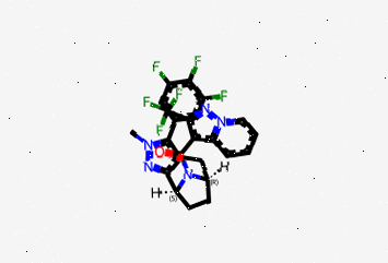 Cn1nc2c(c1-c1cc(F)c(F)c(F)c1)C[C@H]1CC[C@@H]2N1C(=O)c1c(C(F)(F)F)nn2ccccc12